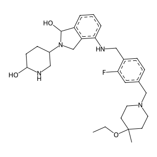 CCOC1(C)CCN(Cc2ccc(CNc3cccc4c3CN(C3CCC(O)NC3)C4O)c(F)c2)CC1